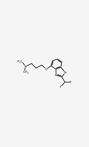 CN(C)CCCOc1cccc2c1N=C(C(F)F)[N]2